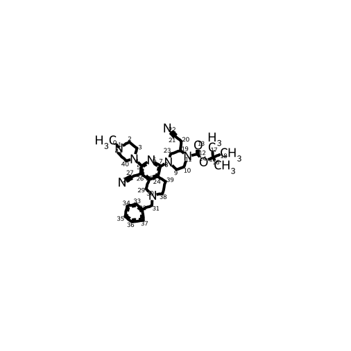 CN1CCN(c2nc(N3CCN(C(=O)OC(C)(C)C)C(CC#N)C3)c3c(c2C#N)CN(Cc2ccccc2)CC3)CC1